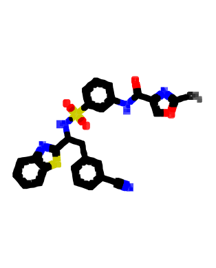 Cc1nc(C(=O)Nc2cccc(S(=O)(=O)NC(Cc3cccc(C#N)c3)c3nc4ccccc4s3)c2)co1